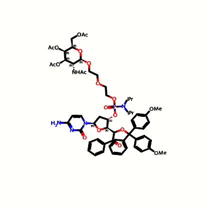 COc1ccc(C(OC(C(=O)c2ccccc2)[C@H]2O[C@@H](n3ccc(N)nc3=O)C[C@@H]2OP(=O)(OCCOCCO[C@@H]2O[C@H](COC(C)=O)[C@H](OC(C)=O)[C@H](OC(C)=O)[C@H]2NC(C)=O)N(C(C)C)C(C)C)(c2ccccc2)c2ccc(OC)cc2)cc1